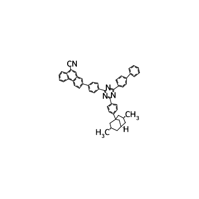 C[C@@H]1C[C@@H]2C[C@H](C)CC(c3ccc(-c4nc(-c5ccc(-c6ccccc6)cc5)nc(-c5ccc(-c6ccc7c(c6)cc(C#N)c6ccccc67)cc5)n4)cc3)(C1)C2